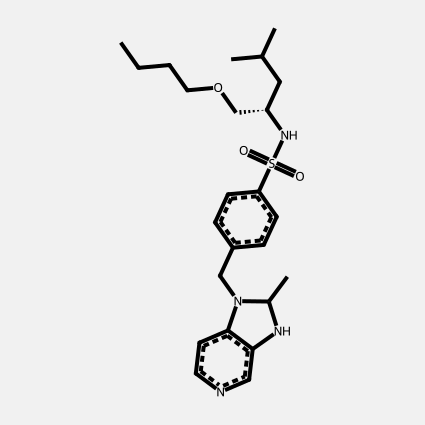 CCCCOC[C@H](CC(C)C)NS(=O)(=O)c1ccc(CN2c3ccncc3NC2C)cc1